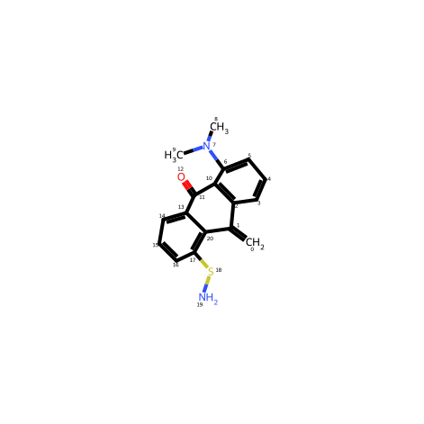 C=C1c2cccc(N(C)C)c2C(=O)c2cccc(SN)c21